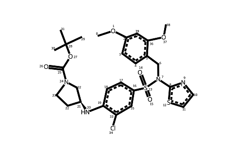 COc1ccc(CN(c2nccs2)S(=O)(=O)c2ccc(N[C@H]3CCN(C(=O)OC(C)(C)C)C3)c(Cl)c2)c(OC)c1